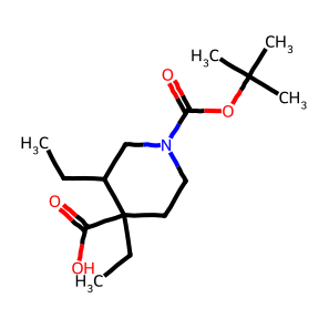 CCC1CN(C(=O)OC(C)(C)C)CCC1(CC)C(=O)O